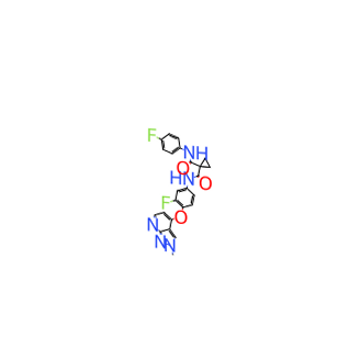 Cn1cc2c(Oc3ccc(NC(=O)C4(C(=O)Nc5ccc(F)cc5)CC4)cc3F)ccnc2n1